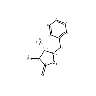 CC[C@@H]1C(=O)ON(Cc2ccccc2)[C@H]1C